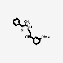 COc1cccc(C(=O)CCN[C@@H](C)[C@H](O)c2ccccc2)c1